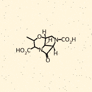 CC1O[C@@H]2CN(C(=O)O)[C@@H]3C(=O)N(C1C(=O)O)[C@H]32